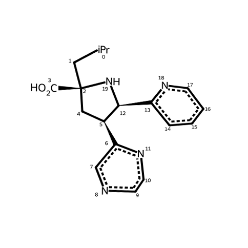 CC(C)C[C@@]1(C(=O)O)C[C@H](c2cnccn2)[C@H](c2ccccn2)N1